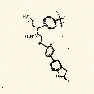 CCC[C@@H](c1ccc(C(F)(F)F)cc1)[C@H](N)CNc1ncc(-c2ccc3c(c2)CC(=O)N3)s1